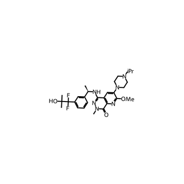 COc1nc2c(=O)n(C)nc(N[C@H](C)c3cccc(C(F)(F)C(C)(C)O)c3)c2cc1N1CCN(C(C)C)CC1